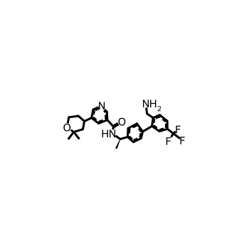 C[C@@H](NC(=O)c1cncc(C2CCOC(C)(C)C2)c1)c1ccc(-c2cc(C(F)(F)F)ccc2CN)cc1